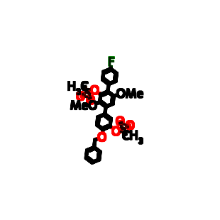 COc1cc(-c2ccc(OCc3ccccc3)c(OS(C)(=O)=O)c2)c(OC)c(OS(C)(=O)=O)c1-c1ccc(F)cc1